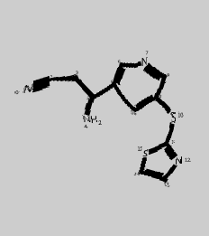 N#CCC(N)c1cncc(Sc2nccs2)c1